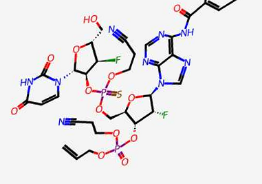 C=CCOP(=O)(OCCC#N)O[C@H]1[C@@H](F)[C@H](n2cnc3c(NC(=O)c4ccccc4)ncnc32)O[C@@H]1COP(=S)(OCCC#N)O[C@@H]1[C@H](F)[C@@H](CO)O[C@H]1n1ccc(=O)[nH]c1=O